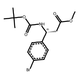 COC(=O)C[C@@H](NC(=O)OC(C)(C)C)c1ccc(Br)cc1